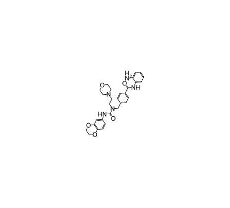 Nc1ccccc1NC(=O)c1ccc(CN(CCN2CCOCC2)C(=O)Nc2ccc3c(c2)OCCO3)cc1